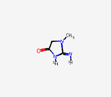 [3H]N=C1N(C)CC(=O)N1[3H]